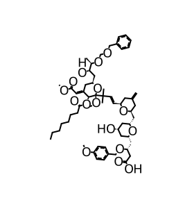 C=C1C[C@@H](C[C@H]2C[C@@H](O)C[C@@H](C[C@H](CC(=O)O)OCc3ccc(OC)cc3)O2)O[C@@H](C=CC(C)(C)[C@@]2(OC)O[C@H](C[C@@H](O)[C@@H](C)OCOCc3ccccc3)C/C(=C\C(=O)OC)[C@@H]2OC(=O)CCCCCCC)C1